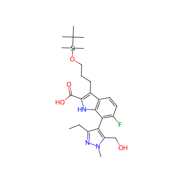 CCc1nn(C)c(CO)c1-c1c(F)ccc2c(CCCO[Si](C)(C)C(C)(C)C)c(C(=O)O)[nH]c12